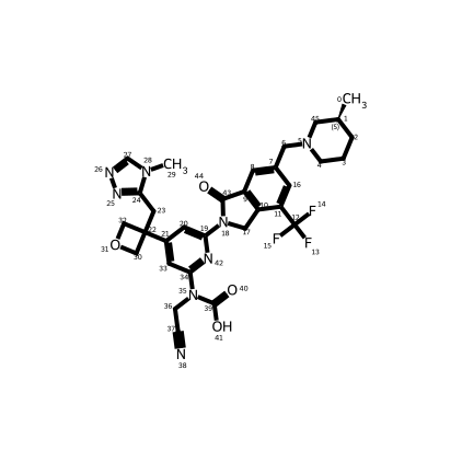 C[C@H]1CCCN(Cc2cc3c(c(C(F)(F)F)c2)CN(c2cc(C4(Cc5nncn5C)COC4)cc(N(CC#N)C(=O)O)n2)C3=O)C1